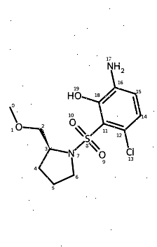 COC[C@@H]1CCCN1S(=O)(=O)c1c(Cl)ccc(N)c1O